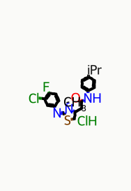 CC(C)c1ccc(NC(=O)CC2CSC(=Nc3ccc(F)c(Cl)c3)N2C)cc1.Cl